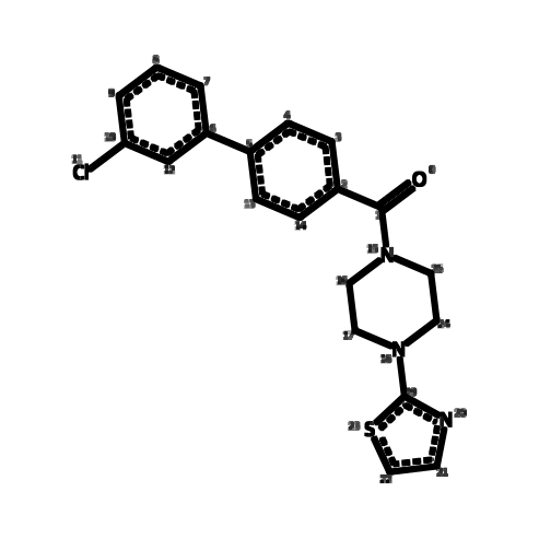 O=C(c1ccc(-c2cccc(Cl)c2)cc1)N1CCN(c2nccs2)CC1